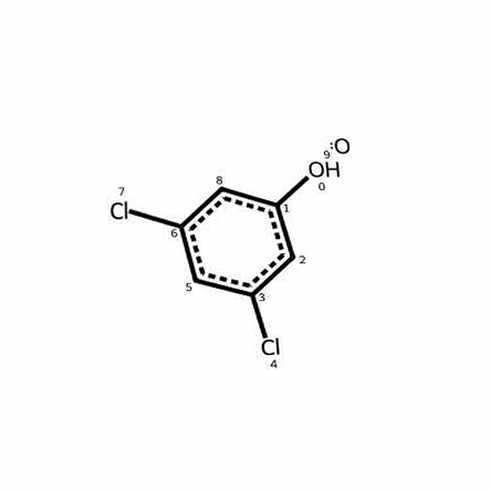 Oc1cc(Cl)cc(Cl)c1.[O]